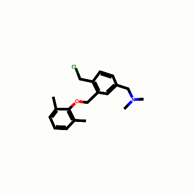 Cc1cccc(C)c1OCc1cc(CN(C)C)ccc1CCl